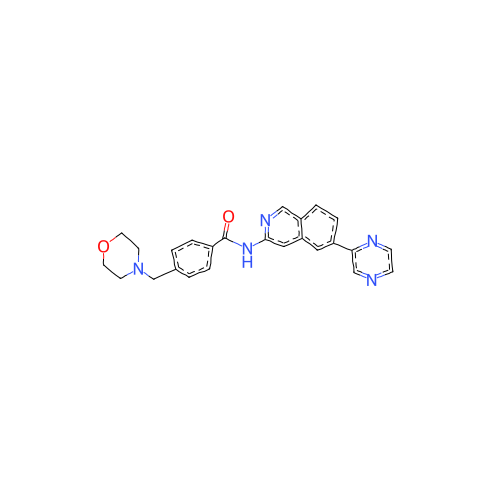 O=C(Nc1cc2cc(-c3cnccn3)ccc2cn1)c1ccc(CN2CCOCC2)cc1